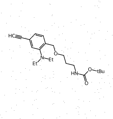 C#Cc1ccc(COCCCNC(=O)OC(C)(C)C)c(N(CC)CC)c1